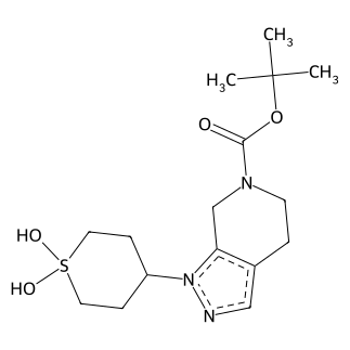 CC(C)(C)OC(=O)N1CCc2cnn(C3CCS(O)(O)CC3)c2C1